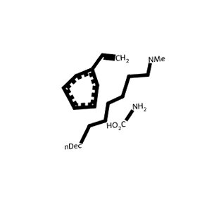 C=Cc1ccccc1.CCCCCCCCCCCCCCCCNC.NC(=O)O